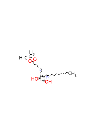 CCCCCCCC/C=C/[C@@H]1[C@@H](C/C=C\CCCC(=O)OC(C)C)[C@@H](O)C[C@H]1O